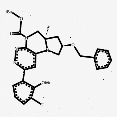 COc1c(F)cccc1-c1cc2c(nn1)N(C(=O)OC(C)(C)C)C[C@@]1(C)C[C@@H](OCc3ccccc3)CN21